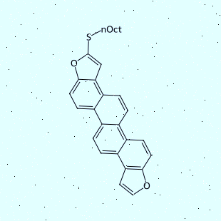 CCCCCCCCSc1cc2c(ccc3c2ccc2c4ccc5occc5c4ccc32)o1